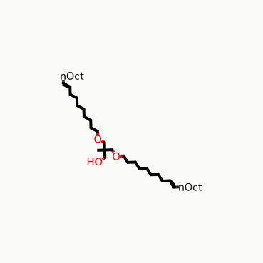 CCCCCCCCC=CCCCCCCCCOCC(C)(CO)COCCCCCCCCC=CCCCCCCCC